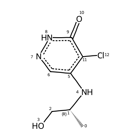 C[C@H](CO)Nc1cn[nH]c(=O)c1Cl